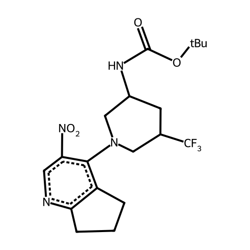 CC(C)(C)OC(=O)NC1CC(C(F)(F)F)CN(c2c([N+](=O)[O-])cnc3c2CCC3)C1